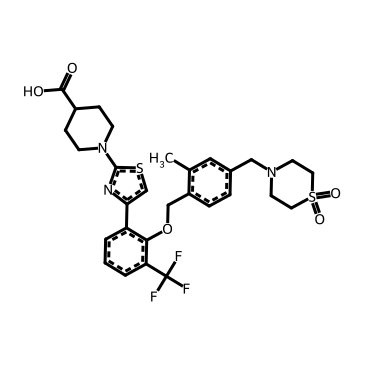 Cc1cc(CN2CCS(=O)(=O)CC2)ccc1COc1c(-c2csc(N3CCC(C(=O)O)CC3)n2)cccc1C(F)(F)F